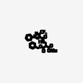 COC(=O)C(CNC(=O)c1cn(-c2ccccc2)nc1C(F)(F)F)C(=O)OCc1ccccc1